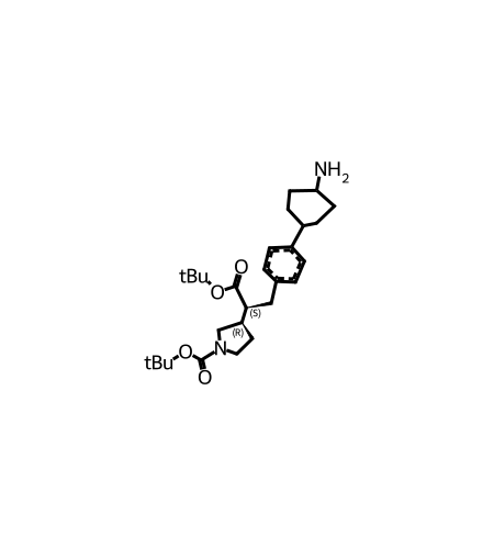 CC(C)(C)OC(=O)[C@@H](Cc1ccc(C2CCC(N)CC2)cc1)[C@H]1CCN(C(=O)OC(C)(C)C)C1